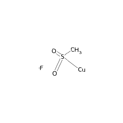 C[S](=O)(=O)[Cu].[F]